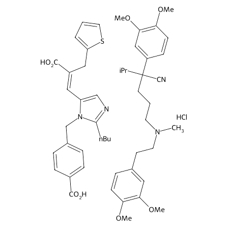 CCCCc1ncc(/C=C(\Cc2cccs2)C(=O)O)n1Cc1ccc(C(=O)O)cc1.COc1ccc(CCN(C)CCCC(C#N)(c2ccc(OC)c(OC)c2)C(C)C)cc1OC.Cl